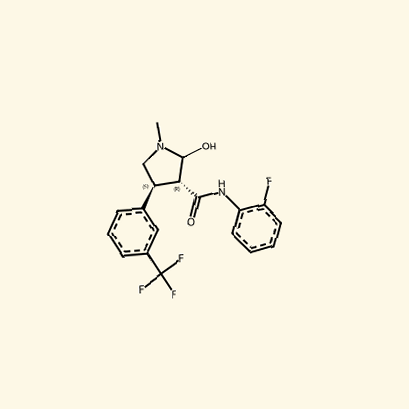 CN1C[C@H](c2cccc(C(F)(F)F)c2)[C@@H](C(=O)Nc2ccccc2F)C1O